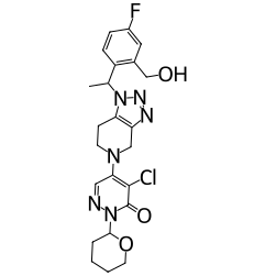 CC(c1ccc(F)cc1CO)n1nnc2c1CCN(c1cnn(C3CCCCO3)c(=O)c1Cl)C2